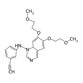 C#Cc1cccc(NN2C=NC=C3C=C(OCCOC)C(OCCOC)=CC32)c1